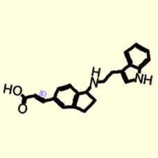 O=C(O)/C=C/c1ccc2c(c1)CCC2NCCc1c[nH]c2ccccc12